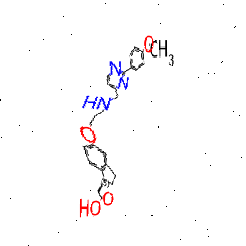 COc1ccc(-c2nccc(CNCCCOc3ccc4c(c3)CC[C@H]4CC(=O)O)n2)cc1